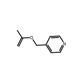 C=C(C)OCc1ccncc1